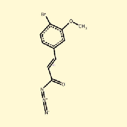 COc1cc(/C=C/C(=O)N=[N+]=[N-])ccc1Br